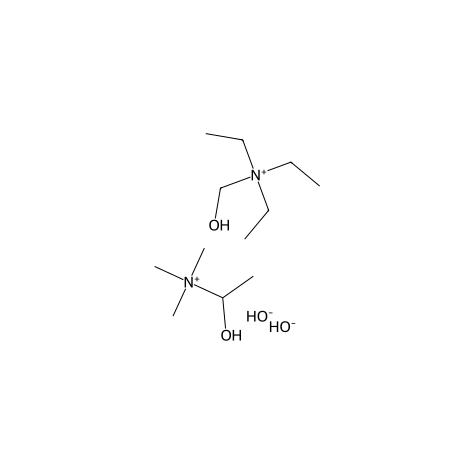 CC(O)[N+](C)(C)C.CC[N+](CC)(CC)CO.[OH-].[OH-]